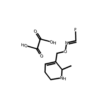 CC1NCCC=C1CON=CF.O=C(O)C(=O)O